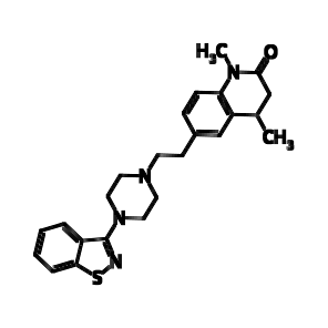 CC1CC(=O)N(C)c2ccc(CCN3CCN(c4nsc5ccccc45)CC3)cc21